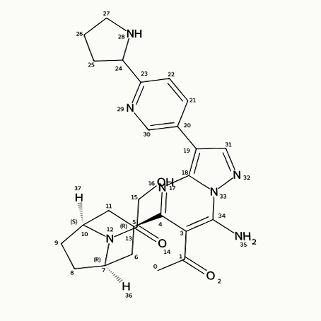 CC(=O)c1c([C@H]2C[C@H]3CC[C@@H](C2)N3C(=O)CO)nc2c(-c3ccc(C4CCCN4)nc3)cnn2c1N